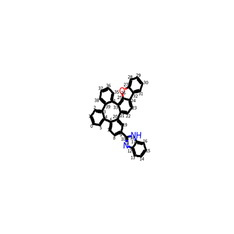 c1ccc2c(c1)-c1ccc(-c3nc4ccccc4[nH]3)cc1-c1ccc3c(oc4ccccc43)c1-c1ccccc1-2